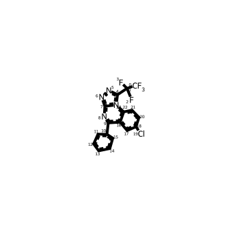 FC(F)(F)C(F)(F)c1nnc2nc(-c3ccccc3)c3cc(Cl)ccc3n12